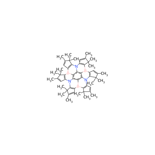 CC1=CC2=C(B3C4=C(N5C6=C(B7C8=C(N9C%10=C(B%11C%12=C(N2c2c%11c9c7c5c23)C(C)(C)C(C)=C%12)C(C)(C)C(C)=C%10)C(C)(C)C(C)=C8)C(C)(C)C(C)=C6)C(C)(C)C(C)=C4)C1(C)C